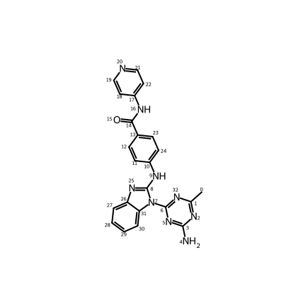 Cc1nc(N)nc(-n2c(Nc3ccc(C(=O)Nc4ccncc4)cc3)nc3ccccc32)n1